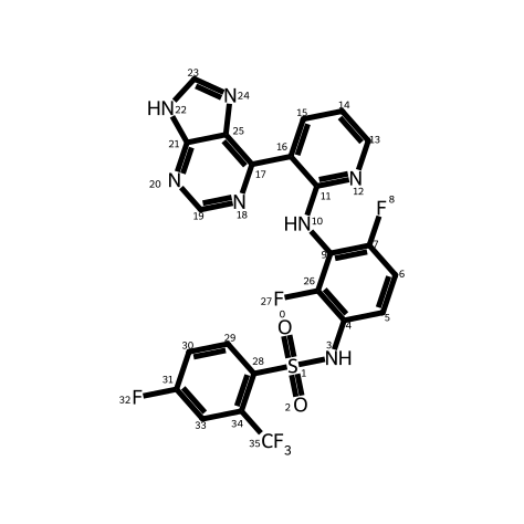 O=S(=O)(Nc1ccc(F)c(Nc2ncccc2-c2ncnc3[nH]cnc23)c1F)c1ccc(F)cc1C(F)(F)F